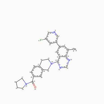 Cc1cc(-c2cncc(F)c2)cc2c(N3CCc4ccc(C(=O)N5CCCC5)cc4C3)ncnc12